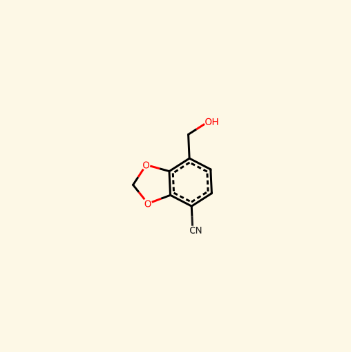 N#Cc1ccc(CO)c2c1OCO2